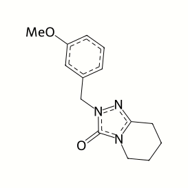 COc1cccc(Cn2nc3n(c2=O)CCCC3)c1